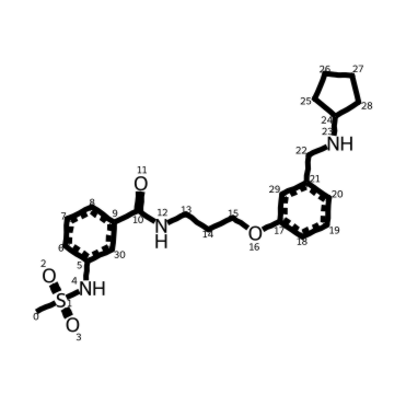 CS(=O)(=O)Nc1cccc(C(=O)NCCCOc2cccc(CNC3CCCC3)c2)c1